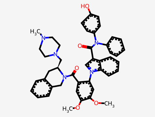 COc1cc(C(=O)N2Cc3ccccc3C[C@H]2CN2CCN(C)CC2)c(-n2cc(C(=O)N(c3ccccc3)c3ccc(O)cc3)c3ccccc32)cc1OC